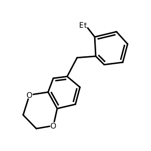 CCc1ccccc1Cc1ccc2c(c1)OCCO2